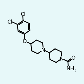 NC(=O)N1CCC(N2CCC(Oc3ccc(Cl)c(Cl)c3)CC2)CC1